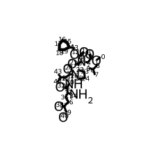 COC(=O)[C@H](CC(C)C)N(C(=O)OCc1ccccc1)C(=O)[C@@H]1CCCN1C(=O)[C@@H](NC(=O)C(N)CCC(=O)C=O)C(C)C